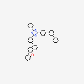 c1ccc(-c2cccc(-c3ccc(-c4nc(-c5ccccc5)nc(-c5cccc(-c6cccc7c6ccc6c8ccccc8oc76)c5)n4)cc3)c2)cc1